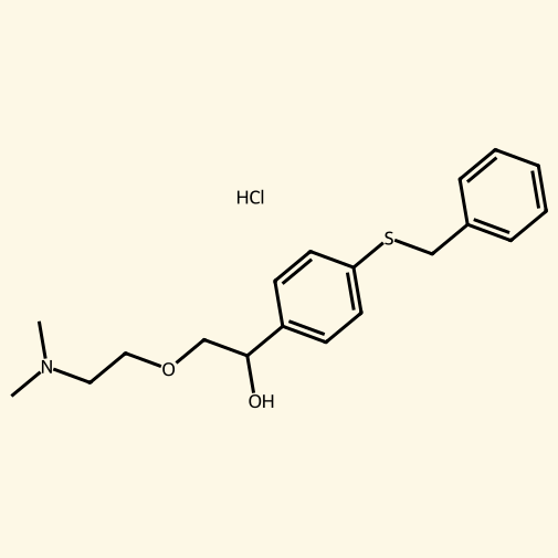 CN(C)CCOCC(O)c1ccc(SCc2ccccc2)cc1.Cl